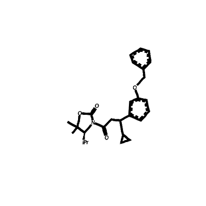 CC(C)[C@@H]1N(C(=O)CC(c2cccc(OCc3ccccc3)c2)C2CC2)C(=O)OC1(C)C